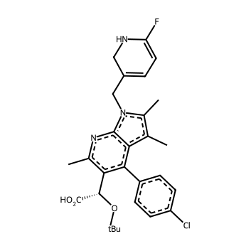 Cc1nc2c(c(C)c(C)n2CC2=CC=C(F)NC2)c(-c2ccc(Cl)cc2)c1[C@H](OC(C)(C)C)C(=O)O